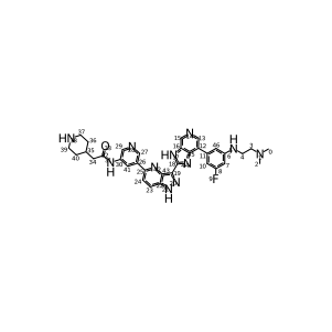 CN(C)CCNc1cc(F)cc(-c2cncc3[nH]c(-c4n[nH]c5ccc(-c6cncc(NC(=O)CC7CCNCC7)c6)nc45)nc23)c1